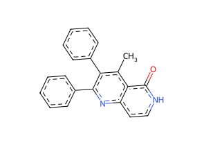 Cc1c(-c2ccccc2)c(-c2ccccc2)nc2cc[nH]c(=O)c12